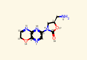 NC[C@@H]1CN(c2cnc3c(n2)N=CCO3)C(=O)O1